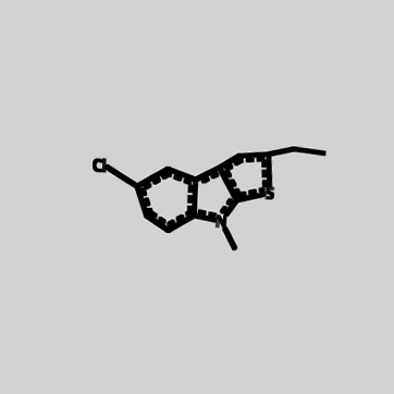 CCc1cc2c3cc(Cl)ccc3n(C)c2s1